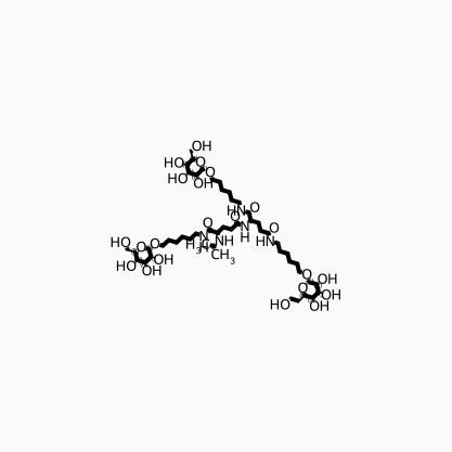 CC(C)NC(CCC(=O)NC(CCC(=O)NCCCCCCO[C@H]1O[C@H](CCO)[C@@H](O)[C@@H](O)[C@H]1O)C(=O)NCCCCCCO[C@H]1O[C@H](CO)[C@@H](O)[C@@H](O)[C@H]1O)C(=O)NCCCCCCO[C@H]1O[C@H](CO)[C@@H](O)[C@@H](O)[C@H]1O